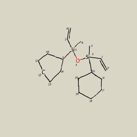 C=C[Si](C)(O[Si](C)(C=C)C1CCCCC1)C1CCCCC1